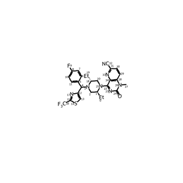 CC[C@H]1CN(C(c2ccc(F)cc2)c2csc(C(F)(F)F)n2)[C@H](CC)CN1c1nc(=O)n(C)c2ccc(C#N)nc12